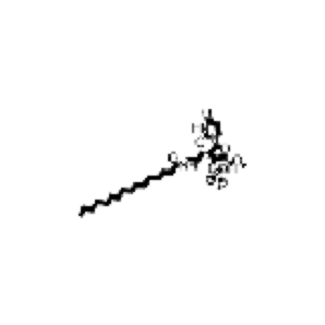 CCCCCCCCCCCCCCCC(=O)NCCC[C@H]1C(OP(=O)(O)OC)[C@@H](COC)O[C@H]1n1ccc(=O)[nH]c1=O